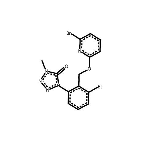 CCc1cccc(-n2nnn(C)c2=O)c1COc1cccc(Br)n1